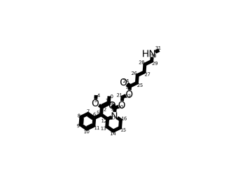 C/C=C(\OC)C(c1ccccc1)C1CCCCN1C(=O)OCOC(=O)CCCCCNC